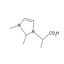 CC(C(=O)O)N1C=CN(C)C1C